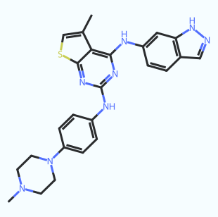 Cc1csc2nc(Nc3ccc(N4CCN(C)CC4)cc3)nc(Nc3ccc4cn[nH]c4c3)c12